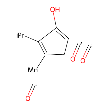 CC(C)C1=[C]([Mn])CC=C1O.[C]=O.[C]=O.[C]=O